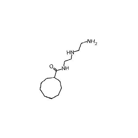 NCCNCCNC(=O)C1CCCCCCCC1